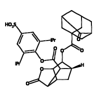 CC(C)c1cc(S(=O)(=O)O)cc(C(C)C)c1OC(=O)C1C2C(=O)OC3C2C[C@H]1C3OC(=O)C12CC3CC(C1)C(=O)C(C3)C2